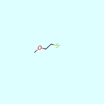 COCC[S]